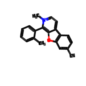 Cc1ccccc1-c1c2oc3cc(C#N)ccc3c2cc[n+]1C